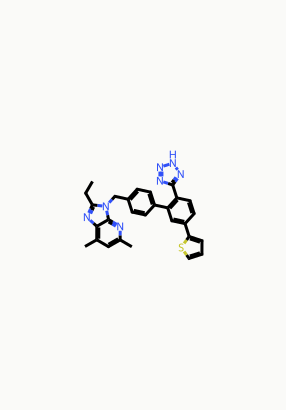 CCc1nc2c(C)cc(C)nc2n1Cc1ccc(-c2cc(-c3cccs3)ccc2-c2nn[nH]n2)cc1